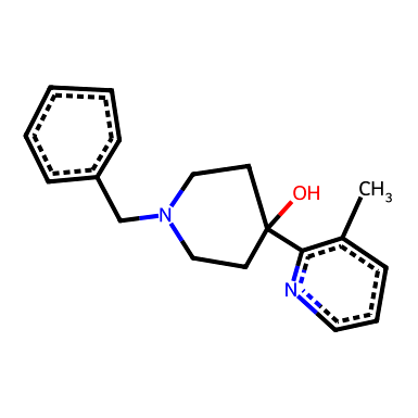 Cc1cccnc1C1(O)CCN(Cc2ccccc2)CC1